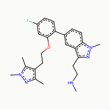 CNCCc1nn(C)c2ccc(-c3ccc(F)cc3OCCc3c(C)nn(C)c3C)cc12